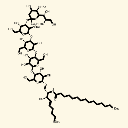 CCCCCCCCCCCCC/C=C/[C@@H](O)[C@H](CO[C@@H]1OC(CO)[C@@H](O[C@@H]2OC(CO)[C@H](O[C@@H]3OC(CO)[C@H](O)[C@H](O[C@@H]4OC(CO)[C@H](O)[C@H](O[C@]5(C(=O)O)CC(O)[C@@H](NC(C)=O)C([C@H](O)[C@H](O)CO)O5)C4NC(C)=O)C3O)[C@H](O)C2O)[C@H](O)C1O)NC(=O)CCCCCCCCCCCCCCCCCCCCCCC